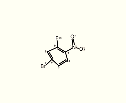 O=[N+]([O-])c1[c]cc(Br)cc1F